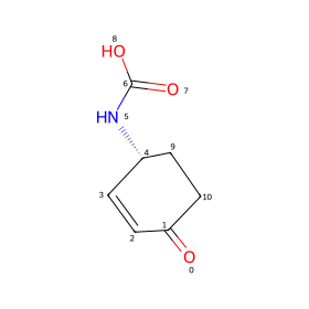 O=C1C=C[C@H](NC(=O)O)CC1